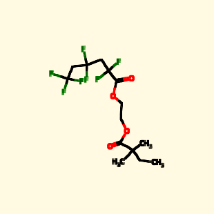 CCC(C)(C)C(=O)OCCOC(=O)C(F)(F)CC(F)(F)CC(F)(F)F